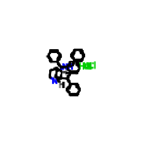 Cl.Cl.c1ccc(CN[C@@H]2C3CCN(CC3)[C@H]2C(c2ccccc2)c2ccccc2Cc2ccccc2)cc1